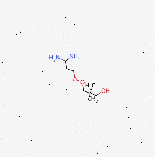 CC(C)(CO)COOCCC(N)N